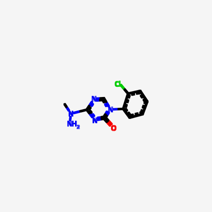 CN(N)c1ncn(-c2ccccc2Cl)c(=O)n1